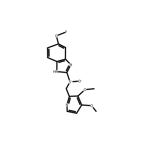 COc1ccnc(C[S+]([O-])c2nc3cc(OF)ccc3[nH]2)c1OC